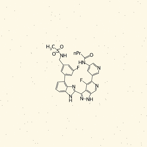 CCCC(=O)Nc1cncc(-c2ncc3[nH]nc(-c4nc5c(-c6cc(F)cc(CNS(C)(=O)=O)c6)cccc5[nH]4)c3c2F)c1